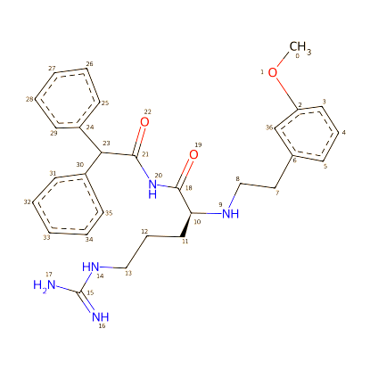 COc1cccc(CCN[C@@H](CCCNC(=N)N)C(=O)NC(=O)C(c2ccccc2)c2ccccc2)c1